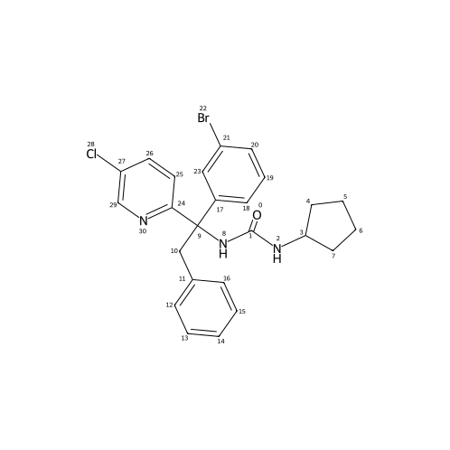 O=C(NC1CCCC1)NC(Cc1ccccc1)(c1cccc(Br)c1)c1ccc(Cl)cn1